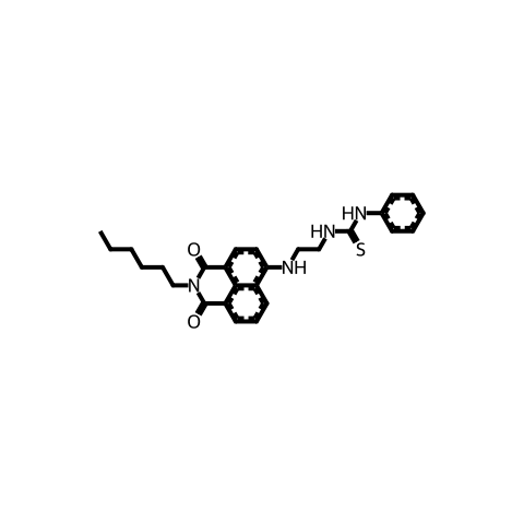 CCCCCCN1C(=O)c2cccc3c(NCCNC(=S)Nc4ccccc4)ccc(c23)C1=O